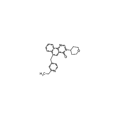 CCc1cc(Cc2cc3c(=O)n(C4CCOCC4)cnc3c3ccccc23)ccn1